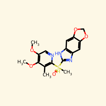 COc1cnc([SH](C)(=O)c2nc3cc4c(cc3[nH]2)OCO4)c(C)c1OC